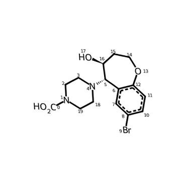 O=C(O)N1CCN([C@H]2c3cc(Br)ccc3OCC[C@@H]2O)CC1